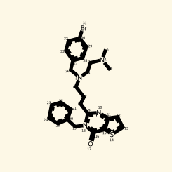 CN(C)CCN(CCCc1nc2ccsc2c(=O)n1Cc1ccccc1)Cc1ccc(Br)cc1